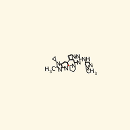 Cc1nc2ncc(-c3ccn4nc(Nc5cnn(C)c5)nc(N5CCCC5)c34)cc2n1C1CC1